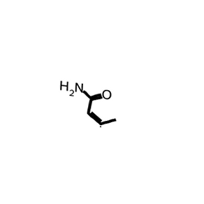 C/[C]=C\C(N)=O